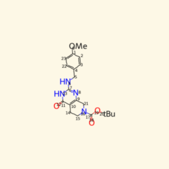 COc1ccc(CNc2nc3c(c(=O)[nH]2)CCN(C(=O)OC(C)(C)C)C3)cc1